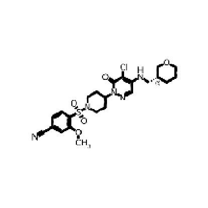 COc1cc(C#N)ccc1S(=O)(=O)N1CCC(n2ncc(NC[C@H]3CCCOC3)c(Cl)c2=O)CC1